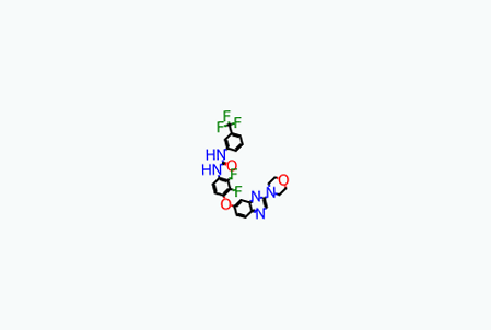 O=C(Nc1cccc(C(F)(F)F)c1)Nc1ccc(Oc2ccc3ncc(N4CCOCC4)nc3c2)c(F)c1F